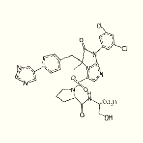 CC1(Cc2ccc(-c3cncnc3)cc2)C(=O)N(c2cc(Cl)cc(Cl)c2)c2ncc(S(=O)(=O)N3CCCC3C(=O)NC(CO)C(=O)O)n21